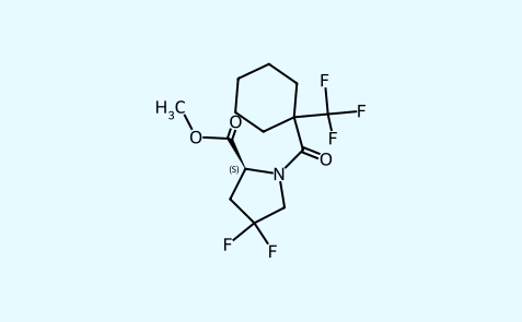 COC(=O)[C@@H]1CC(F)(F)CN1C(=O)C1(C(F)(F)F)CCCCC1